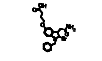 NC(=O)CC1c2cc(OCCCC(=O)O)ccc2N(Cc2ccccc2)C1Br